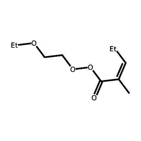 CCC=C(C)C(=O)OOCCOCC